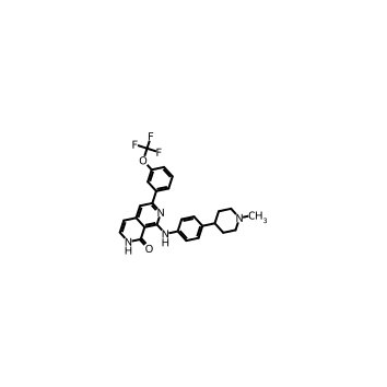 CN1CCC(c2ccc(Nc3nc(-c4cccc(OC(F)(F)F)c4)cc4cc[nH]c(=O)c34)cc2)CC1